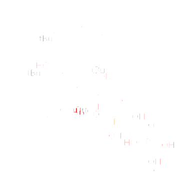 Cc1cc(C(C)(C)C)c(C(O)(c2c(C(C)(C)C)cc(C)cc2C(C)(C)C)C(CO)(CO)CO)c(C(C)(C)C)c1.O=P(O)(O)O.O=P(O)(O)O